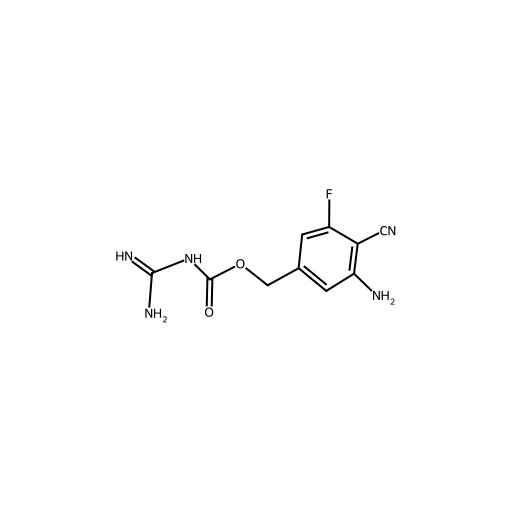 N#Cc1c(N)cc(COC(=O)NC(=N)N)cc1F